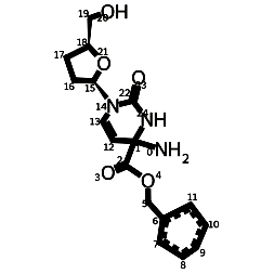 NC1(C(=O)OCc2ccccc2)C=CN([C@H]2CC[C@@H](CO)O2)C(=O)N1